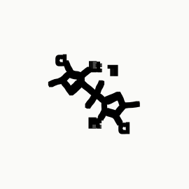 CCC1=C(Cl)C(C)C=C1C(C)(C)C1=CC(C)C(Cl)=C1CC.[Ti]